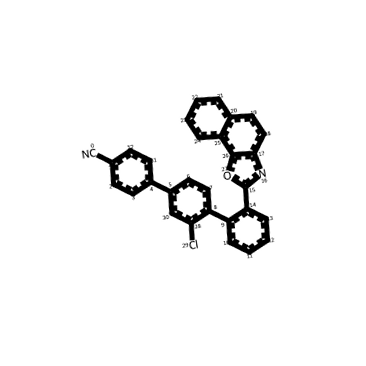 N#Cc1ccc(-c2ccc(-c3ccccc3-c3nc4ccc5ccccc5c4o3)c(Cl)c2)cc1